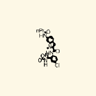 CCCC(=O)Nc1ccc2cc(C(=O)Nc3ccc(Cl)cc3-c3noc(=O)[nH]3)n(C)c2c1